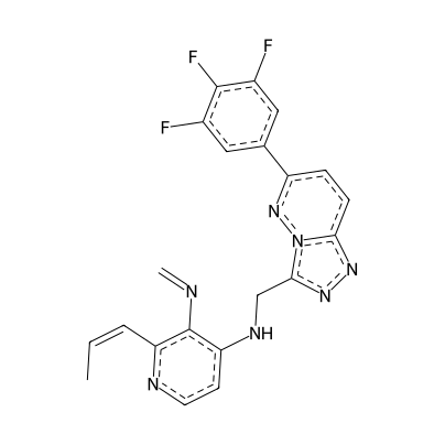 C=Nc1c(NCc2nnc3ccc(-c4cc(F)c(F)c(F)c4)nn23)ccnc1/C=C\C